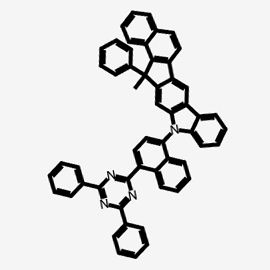 CC1(c2ccccc2)c2cc3c(cc2-c2ccc4ccccc4c21)c1ccccc1n3-c1ccc(-c2nc(-c3ccccc3)nc(-c3ccccc3)n2)c2ccccc12